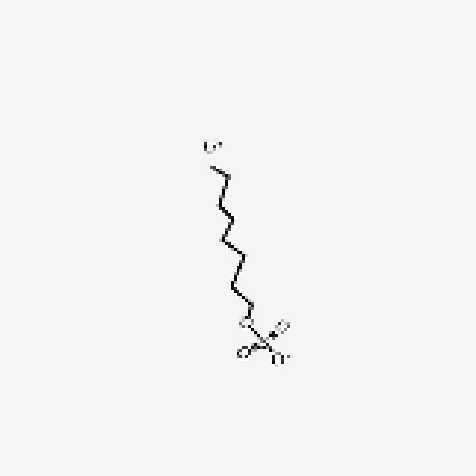 CCCCCCCCOS(=O)(=O)[O-].[Li+]